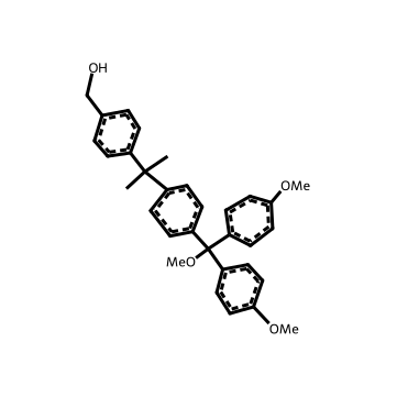 COc1ccc(C(OC)(c2ccc(OC)cc2)c2ccc(C(C)(C)c3ccc(CO)cc3)cc2)cc1